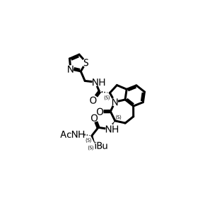 CC[C@H](C)[C@H](NC(C)=O)C(=O)N[C@H]1CCc2cccc3c2N(C1=O)[C@H](C(=O)NCc1nccs1)C3